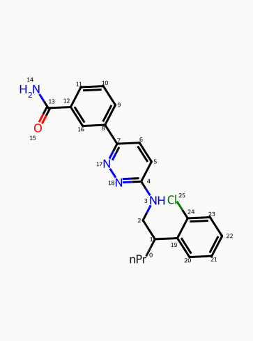 CCCC(CNc1ccc(-c2cccc(C(N)=O)c2)nn1)c1ccccc1Cl